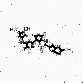 Cc1ccc2sc(C(=O)Nc3c(F)ccc(-c4cc(Nc5cc(C)n(C)n5)c(=O)[nH]n4)c3C)cc2c1